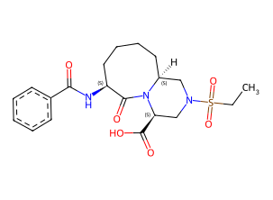 CCS(=O)(=O)N1C[C@@H]2CCCC[C@H](NC(=O)c3ccccc3)C(=O)N2[C@H](C(=O)O)C1